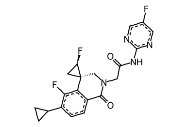 O=C(CN1C[C@@]2(C[C@H]2F)c2c(ccc(C3CC3)c2F)C1=O)Nc1ncc(F)cn1